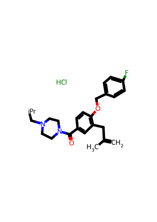 C=C(C)Cc1cc(C(=O)N2CCN(CC(C)C)CC2)ccc1OCc1ccc(F)cc1.Cl